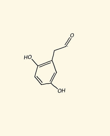 O=[C]Cc1cc(O)ccc1O